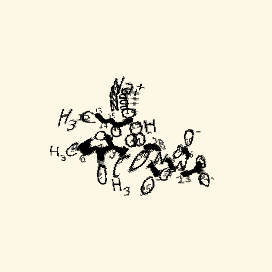 CC(=O)C1C(=O)C=C(C)OC1=O.CC=CC=CC(=O)O.O=C([O-])CN(CCN(CC(=O)[O-])CC(=O)[O-])CC(=O)[O-].[Na+].[Na+].[Na+].[Na+]